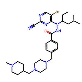 CCC(CC(C)C)N(NC(=O)c1ccc(CN2CCN(CC3CCN(C)CC3)CC2)cc1)c1nc(C#N)ncc1Br